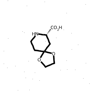 O=C(O)[C@@H]1CC2(CCN1)OCCO2